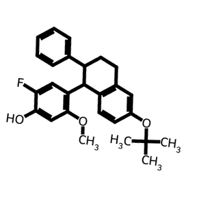 COc1cc(O)c(F)cc1C1c2ccc(OC(C)(C)C)cc2CCC1c1ccccc1